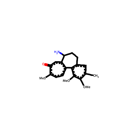 COc1c(C)cc2c(c1OC)-c1ccc(SC)c(=O)cc1C(N)CC2